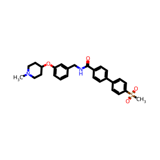 CN1CCC(Oc2cccc(CNC(=O)c3ccc(-c4ccc(S(C)(=O)=O)cc4)cc3)c2)CC1